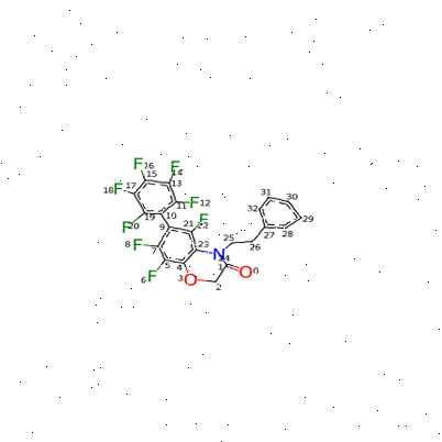 O=C1COc2c(F)c(F)c(-c3c(F)c(F)c(F)c(F)c3F)c(F)c2N1CCc1ccccc1